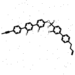 C=CCCc1ccc(-c2ccc(C(F)(F)Oc3ccc(-c4ccc(-c5ccc(C#CC)cc5)c(F)c4)c(F)c3)c(F)c2)cc1